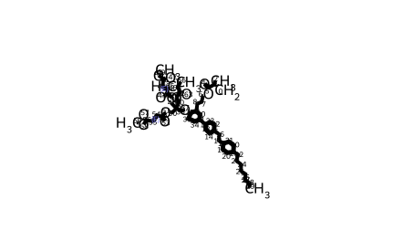 C=C(C)C(=O)OCCCc1cc(-c2ccc(CCc3ccc(CCCCCCCC)cc3)cc2)ccc1OCC(COC(=O)/C=C/C(=O)OC)(COC(=O)/C=C/C(=O)OC)COC(=O)C(=C)C